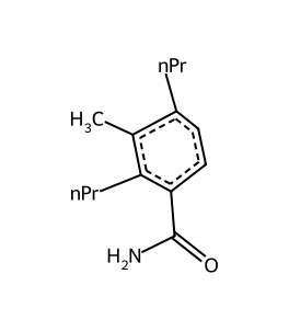 CCCc1ccc(C(N)=O)c(CCC)c1C